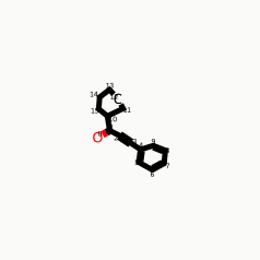 O=C(C#Cc1ccccc1)C1CCCCC1